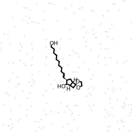 OCCCCCCCCCC=C[C@H]1C[C@H]2[C@@H](CC23OCCO3)C1O